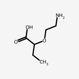 CCC(OCCN)C(=O)O